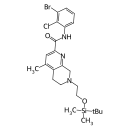 Cc1cc(C(=O)Nc2cccc(Br)c2Cl)nc2c1CCN(CCO[Si](C)(C)C(C)(C)C)C2